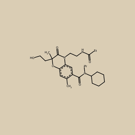 CCC(=O)NCCN1C(=O)C(C)(CCO)Oc2cc(C)c(C(=O)N(C(C)C)C3CCCCC3)cc21